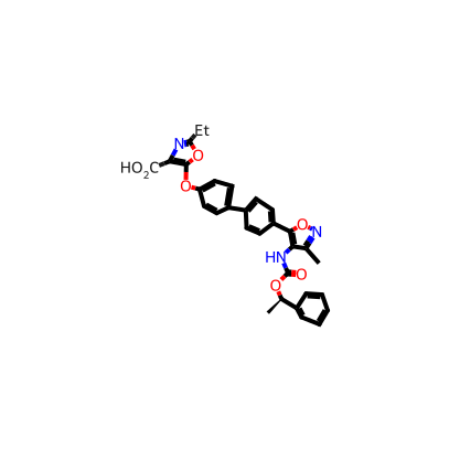 CCc1nc(C(=O)O)c(Oc2ccc(-c3ccc(-c4onc(C)c4NC(=O)O[C@H](C)c4ccccc4)cc3)cc2)o1